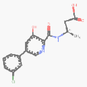 C[C@H](CC(=O)O)NC(=O)c1ncc(-c2cccc(Cl)c2)cc1O